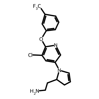 NCCC1CC=CN1c1cnc(Oc2cccc(C(F)(F)F)c2)c(Cl)c1